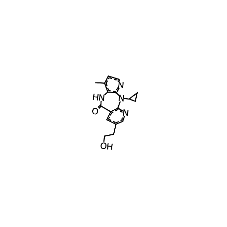 Cc1ccnc2c1NC(=O)c1cc(CCO)cnc1N2C1CC1